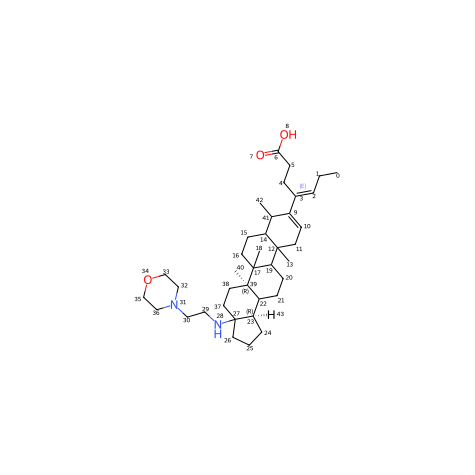 CC/C=C(\CCC(=O)O)C1=CCC2(C)C(CCC3(C)C2CCC2[C@H]4CCCC4(NCCN4CCOCC4)CC[C@]23C)C1C